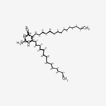 CCCCCCCCCCCCCCCc1c(CCCCCCCCCCCCCC)[nH]c(N)nc1=O